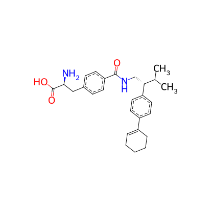 CC(C)[C@@H](CNC(=O)c1ccc(C[C@H](N)C(=O)O)cc1)c1ccc(C2=CCCCC2)cc1